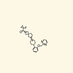 O=C(N1CC2(CC[C@@H](N3CCC(c4ccccc4OCc4ncccn4)CC3)C2)C1)C1(F)CC1